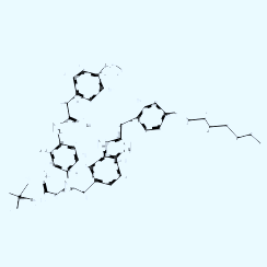 CCCCCCCOc1ccc(Cc2nc3cc(CN(CC(=O)OC(C)(C)C)c4ccc(NC(=O)Cc5ccc(OC)cc5)cc4)ccc3[nH]2)cc1